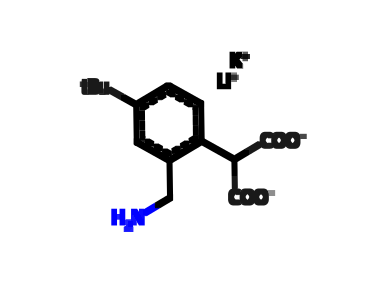 CC(C)(C)c1ccc(C(C(=O)[O-])C(=O)[O-])c(CN)c1.[K+].[Li+]